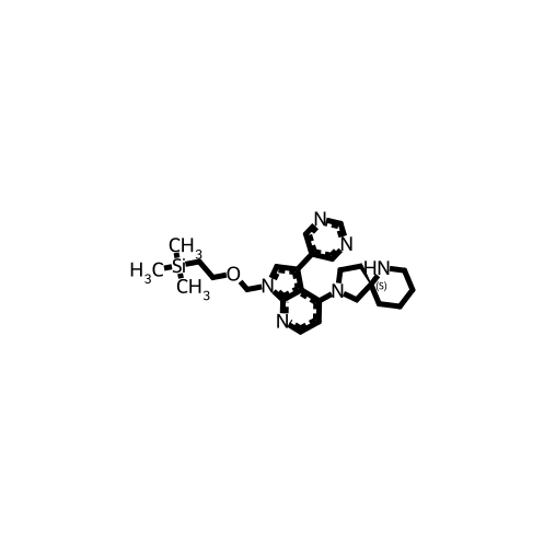 C[Si](C)(C)CCOCn1cc(-c2cncnc2)c2c(N3CC[C@@]4(CCCCN4)C3)ccnc21